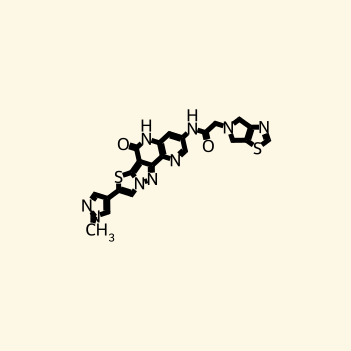 Cn1cc(-c2cn3nc4c5ncc(NC(=O)CN6Cc7ncsc7C6)cc5[nH]c(=O)c4c3s2)cn1